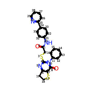 O=C(CSc1nc2c(c(=O)n1-c1ccccc1)SCC2)Nc1ccc(-c2ccccn2)cc1